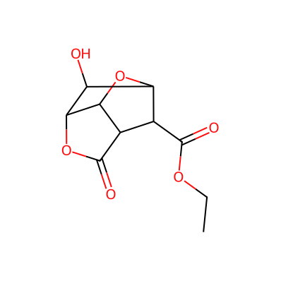 CCOC(=O)C1C2OC3C(OC(=O)C31)C2O